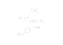 C=C1CC(C)CC(CC)(NCC(O)c2ccc(O)cc2)C1